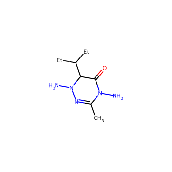 CCC(CC)C1C(=O)N(N)C(C)=NN1N